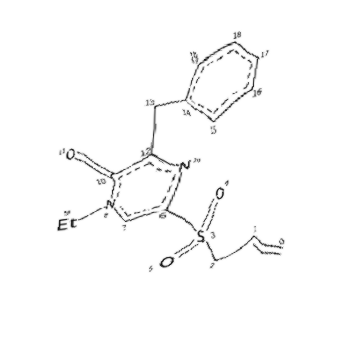 C=CCS(=O)(=O)c1cn(CC)c(=O)c(Cc2ccccc2)n1